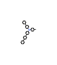 Cc1ccc(N(c2ccc(-c3ccccc3)cc2)c2ccc(-c3ccc(-c4ccccc4)cc3)cc2)cc1